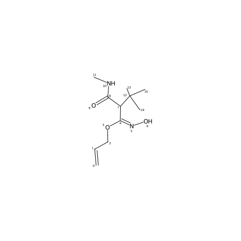 C=CCOC(=NO)C(C(=O)NC)C(C)(C)C